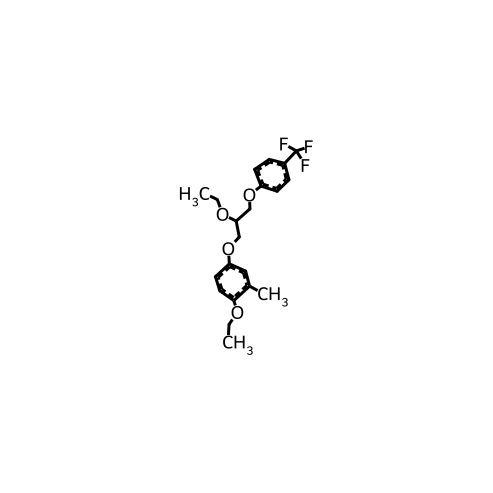 CCOc1ccc(OCC(COc2ccc(C(F)(F)F)cc2)OCC)cc1C